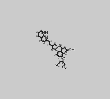 COCC(COC)Oc1cccc(C(CC(=O)O)CN2CCC(CCc3ccc4c(n3)NCCC4)C2)c1